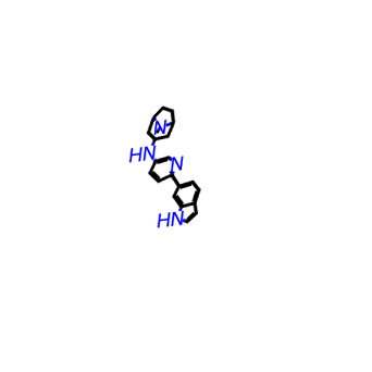 CN1C2CCC1CC(Nc1ccc(-c3ccc4cc[nH]c4c3)nc1)C2